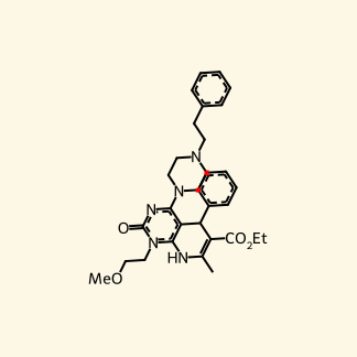 CCOC(=O)C1=C(C)Nc2c(c(N3CCN(CCc4ccccc4)CC3)nc(=O)n2CCOC)C1c1ccccc1